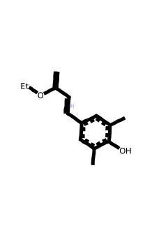 C=C(/C=C/c1cc(C)c(O)c(C)c1)OCC